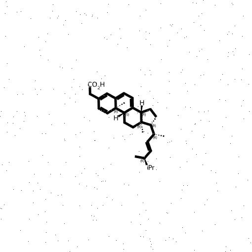 CC(C)[C@@H](C)C=C[C@@H](C)[C@H]1CC[C@H]2C3=CC=C4C=C(CC(=O)O)C=C[C@]4(C)[C@H]3CC[C@]12C